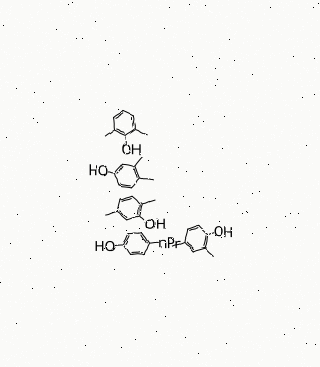 CCCc1ccc(O)cc1.Cc1ccc(C)c(O)c1.Cc1ccc(O)c(C)c1.Cc1ccc(O)cc1C.Cc1cccc(C)c1O